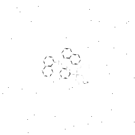 CCC(CC)(CO)c1cccc(N(c2cccc3ccccc23)c2cccc3ccccc23)n1